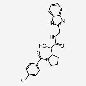 O=C(NCc1nc2ccccc2[nH]1)C(O)C1CCCN1C(=O)c1ccc(Cl)cc1